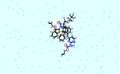 C=CCOC(=O)Nc1cc(/C=C2\CCC[C@H]([C@@H]3[C@@H]([C@@H](C)O[Si](C)(C)C(C)(C)C)C(=O)N3C(C(=O)OCC=C)=P(c3ccccc3)(c3ccccc3)c3ccccc3)C2=O)ccn1